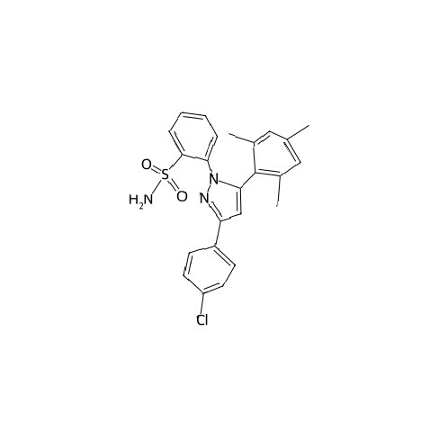 Cc1cc(C)c(-c2cc(-c3ccc(Cl)cc3)nn2-c2ccccc2S(N)(=O)=O)c(C)c1